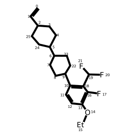 C=CC1CCC(C2CCC(c3ccc(OCC)c(F)c3C(F)F)CC2)CC1